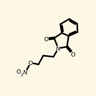 O=C1c2ccccc2C(=O)N1CCCO[N+](=O)[O-]